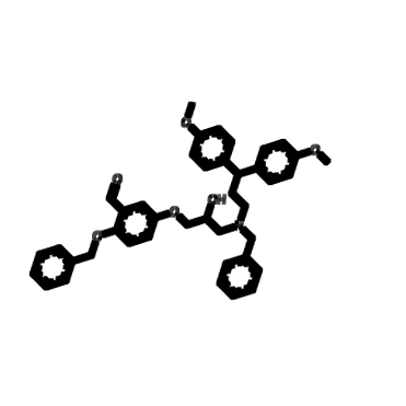 COc1ccc(C(CCN(Cc2ccccc2)CC(O)COc2ccc(OCc3ccccc3)c(C=O)c2)c2ccc(OC)cc2)cc1